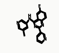 Cc1cncc(Nc2nc(-c3cccnc3)nc3ccc(F)cc23)c1